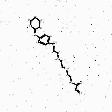 C=CC(=O)OCCOCCOCCOc1ccc(OC2CCCCO2)cc1